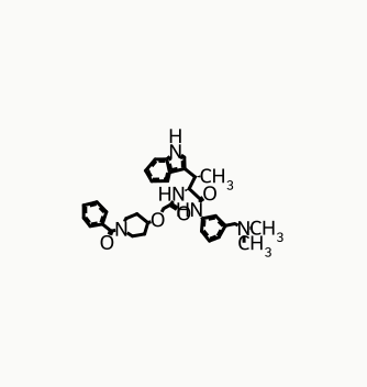 C[C@@H](c1c[nH]c2ccccc12)[C@@H](NC(=O)COC1CCN(C(=O)c2ccccc2)CC1)C(=O)Nc1cccc(CN(C)C)c1